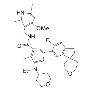 CCN(c1cc(-c2cc3c(cc2F)CCC32CCOCC2)cc(C(=O)NCC2=C(OC)C=C(C)NC2C)c1C)C1CCOCC1